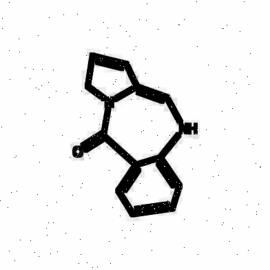 O=C1c2ccccc2NC=C2C=CCN12